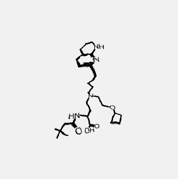 CC(C)(C)CC(=O)NC(CCN(CCCCc1ccc2c(n1)NCCC2)CCOC1CCC1)C(=O)O